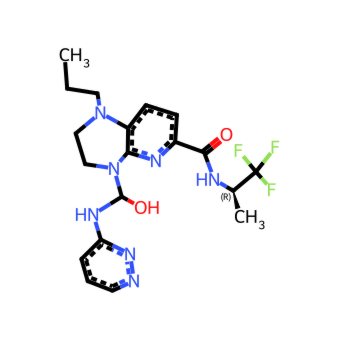 CCCN1CCN(C(O)Nc2cccnn2)c2nc(C(=O)N[C@H](C)C(F)(F)F)ccc21